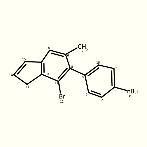 CCCCc1ccc(-c2c(C)cc3c(c2Br)CC=C3)cc1